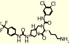 NCCCC[C@@H]1C(=O)N2C[C@H](NC(=O)Nc3ccc(C(F)(F)F)cc3)C[C@H]2CN1C(=O)Nc1ccc(Cl)c(Cl)c1